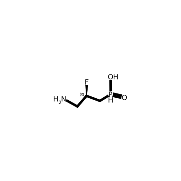 NC[C@@H](F)C[PH](=O)O